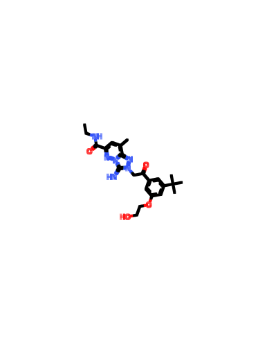 CCNC(=O)c1cc(C)c2nn(CC(=O)c3cc(OCCO)cc(C(C)(C)C)c3)c(=N)n2n1